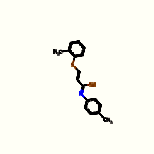 Cc1ccc(N=C(S)C=CSc2ccccc2C)cc1